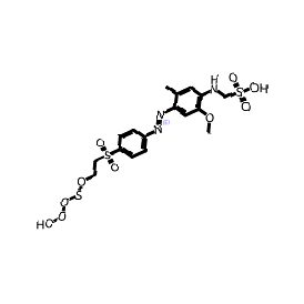 COc1cc(/N=N/c2ccc(S(=O)(=O)CCOSOOO)cc2)c(C)cc1NCS(=O)(=O)O